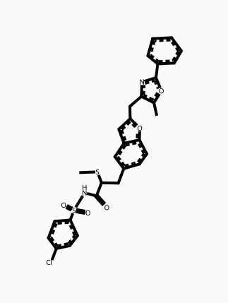 CSC(Cc1ccc2oc(Cc3nc(-c4ccccc4)oc3C)cc2c1)C(=O)NS(=O)(=O)c1ccc(Cl)cc1